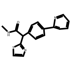 CNC(=O)C(c1ccc(-c2ccccn2)cc1)c1nccs1